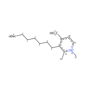 CCCCCCCCCCCCCCCCc1c(C(=O)O)cc[n+](C)c1C